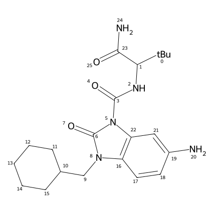 CC(C)(C)C(NC(=O)n1c(=O)n(CC2CCCCC2)c2ccc(N)cc21)C(N)=O